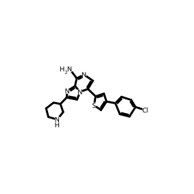 Nc1ncc(-c2cc(-c3ccc(Cl)cc3)cs2)n2cc(C3CCCNC3)nc12